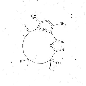 Nc1cc(C(F)(F)F)c2nc1-c1nnc(o1)[C@@](O)(C(F)(F)F)CCC(F)(F)CCCC2=O